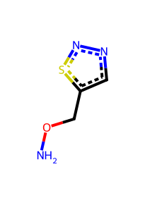 NOCc1cnns1